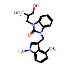 Cc1cccc2c1c(Cn1c(=O)n(CC(CO)C(=O)O)c3ccccc31)cn2C